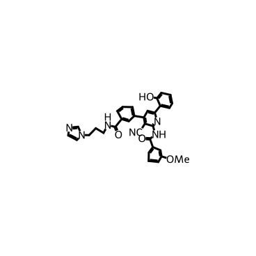 COc1cccc(C(=O)Nc2nc(-c3ccccc3O)cc(-c3cccc(C(=O)NCCCn4ccnc4)c3)c2C#N)c1